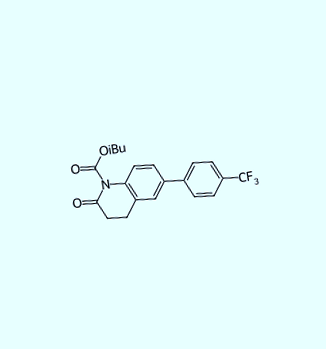 CC(C)COC(=O)N1C(=O)CCc2cc(-c3ccc(C(F)(F)F)cc3)ccc21